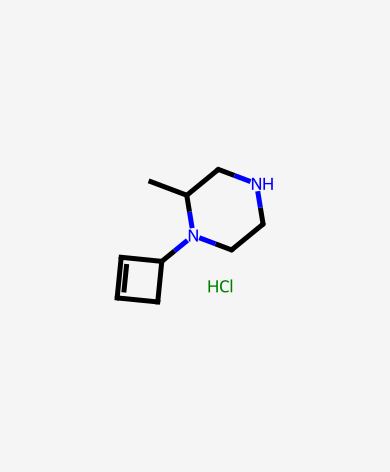 CC1CNCCN1C1C=CC1.Cl